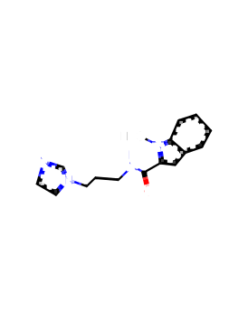 Cn1c(C(=O)NCCCn2ccnc2)cc2ccccc21